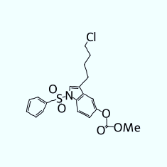 COC(=O)Oc1ccc2c(c1)c(CCCCCl)cn2S(=O)(=O)c1ccccc1